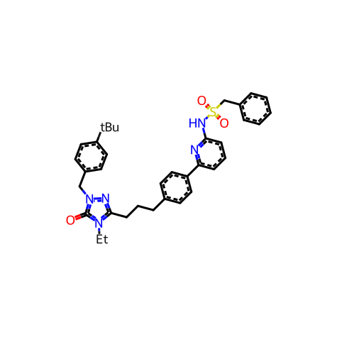 CCn1c(CCCc2ccc(-c3cccc(NS(=O)(=O)Cc4ccccc4)n3)cc2)nn(Cc2ccc(C(C)(C)C)cc2)c1=O